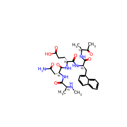 CN[C@@H](C)C(=O)N[C@H](CC(N)=O)C(=O)N[C@H](CCC(=O)O)C(=O)N[C@H](Cc1cccc2ccccc12)C(=O)N[C@@H](C)C(C)=O